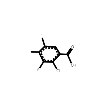 Cc1c(F)cc(C(=O)O)c(Cl)c1F